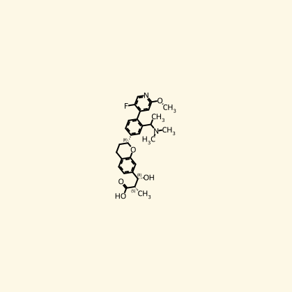 COc1cc(-c2ccc([C@H]3CCc4ccc([C@H](O)[C@H](C)C(=O)O)cc4O3)cc2C(C)N(C)C)c(F)cn1